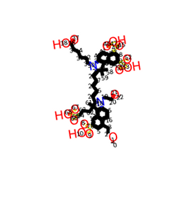 COCCc1cc(S(=O)(=O)O)cc2c3c(ccc12)N(CCOC)C(/C=C/C=C/C=C1/N(CCCCCC(=O)O)c2ccc4c(S(=O)(=O)O)cc(S(=O)(=O)O)cc4c2C1(C)C)C3(C)CCCS(=O)(=O)O